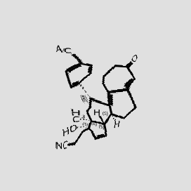 CC(=O)c1ccc([C@H]2C[C@@]3(C)[C@@H](C=C[C@@]3(O)CC#N)[C@@H]3CCC4=CC(=O)CCC4=C32)cc1